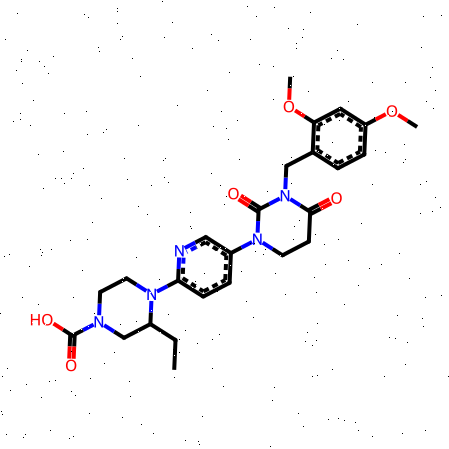 CCC1CN(C(=O)O)CCN1c1ccc(N2CCC(=O)N(Cc3ccc(OC)cc3OC)C2=O)cn1